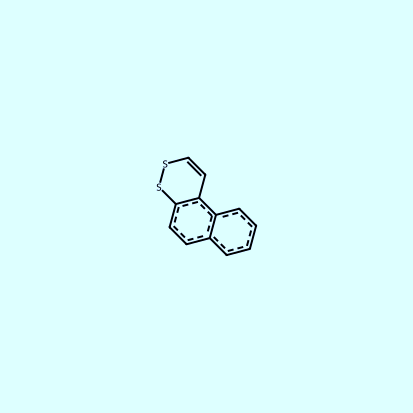 C1=Cc2c(ccc3ccccc23)SS1